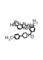 Cc1ccc(C2CCN(C(=O)c3ccc(C)c(Nc4nc5nc(NC(C)C)ccc5[nH]4)c3)CC2)cc1